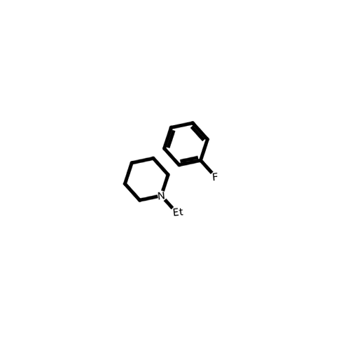 CCN1CCCCC1.Fc1ccccc1